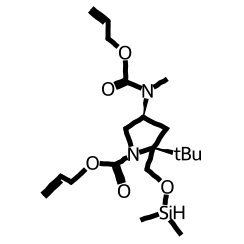 C=CCOC(=O)N(C)[C@@H]1CN(C(=O)OCC=C)[C@](CO[SiH](C)C)(C(C)(C)C)C1